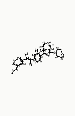 CCCc1ccnc(NC(=O)c2ccc(C3=NC(N4CCOCC4)=C4C=NC=C[N+]34N)cc2)c1